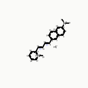 CN(C)c1ccc2cc(/C=C/C=C/c3cccc[n+]3C)ccc2c1.[I-]